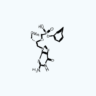 COC[C@@H](Cn1cnc2c(=O)[nH]c(N)nc21)OCP(=O)(O)Oc1ccccc1